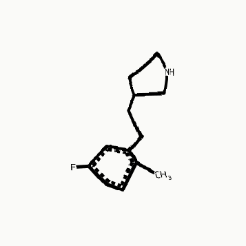 Cc1ccc(F)cc1CCC1CCNC1